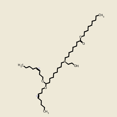 CCCC/C=C\CCOC(CCCCCCCCN(CCO)CCCCCCCC(=O)OCCCCCCCCC)OCC/C=C\CCCC